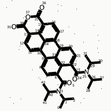 CC(C)N(C(=O)c1ccc2c3ccc4c5c(ccc(c6ccc(C(=O)N(C(C)C)C(C)C)c1c26)c53)C(=O)OC4=O)C(C)C